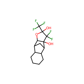 OC12C3CC(C4CCCCC43)C1OC(O)(C(F)(F)F)C2(F)F